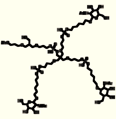 COCCCOCC(CO)COCCCOP(=O)(O)OCC(COCCCOP(=O)(O)OCCCCCCOC1CC(CO)C(O)C(O)C1NC(C)=O)(COCCCOP(=O)(O)OCCCCCCOC1OC(CO)C(O)C(O)C1NC(C)=O)COCCCOP(=O)(O)OCCCCCCOC1OC(CO)C(O)C(O)C1NC(C)=O